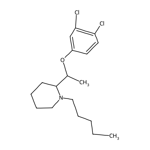 CCCCCN1CCCCC1C(C)Oc1ccc(Cl)c(Cl)c1